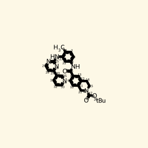 Cc1ccc(NC(=O)c2ccc3c(c2)CCN(C(=O)OC(C)(C)C)C3)cc1Nc1nccc(-c2cccnc2)n1